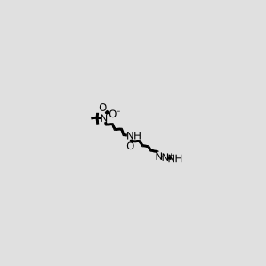 CC(C)(C)N(CCCCCNC(=O)CCCCCN=[N+]=N)C(=O)[O-]